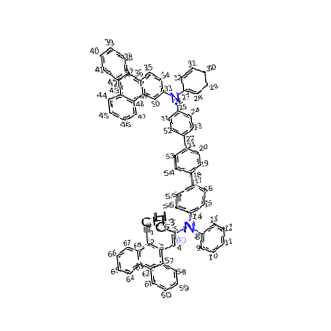 C#Cc1c(/C=C(\C)N(c2ccccc2)c2ccc(-c3ccc(-c4ccc(N(C5=CCCC=C5)c5ccc6c7ccccc7c7ccccc7c6c5)cc4)cc3)cc2)c2ccccc2c2ccccc12